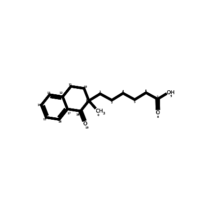 CC1(CCCCCC(=O)O)CCc2ccccc2C1=O